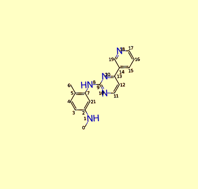 CNc1ccc(C)c(Nc2nccc(-c3cccnc3)n2)c1